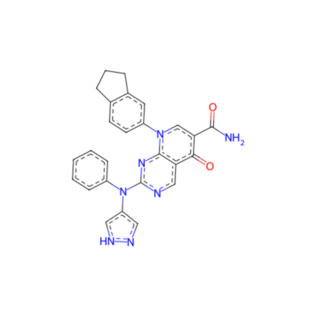 NC(=O)c1cn(-c2ccc3c(c2)CCC3)c2nc(N(c3ccccc3)c3cn[nH]c3)ncc2c1=O